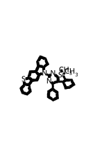 C[Si]1(C)c2ccccc2-c2c(-c3ccccc3)nc(-n3c4ccccc4c4cc5sc6ccccc6c5cc43)nc21